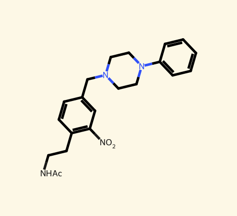 CC(=O)NCCc1ccc(CN2CCN(c3ccccc3)CC2)cc1[N+](=O)[O-]